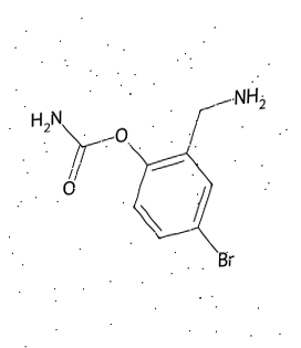 NCc1cc(Br)ccc1OC(N)=O